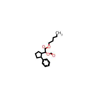 CCCCCOC(=O)C(OC=O)C1CCCC1c1ccccc1